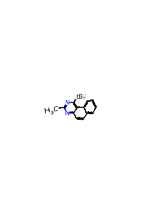 Cc1nc(C(C)(C)C)c2c(ccc3ccccc32)n1